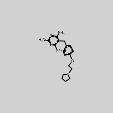 CCCCCc1nc(N)nc(N)c1Cc1ccc(OCCN2CCCC2)cc1